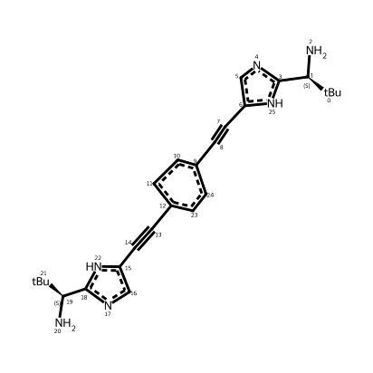 CC(C)(C)[C@H](N)c1ncc(C#Cc2ccc(C#Cc3cnc([C@@H](N)C(C)(C)C)[nH]3)cc2)[nH]1